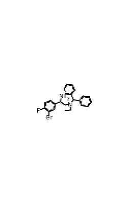 NC(c1ccc(F)c(Br)c1)C1CCN1C(c1ccccc1)c1ccccc1